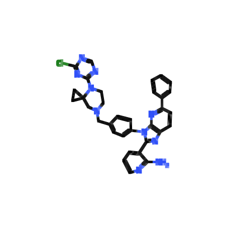 Nc1ncccc1-c1nc2ccc(-c3ccccc3)nc2n1-c1ccc(CN2CCN(c3ncnc(Cl)n3)C3(CC3)C2)cc1